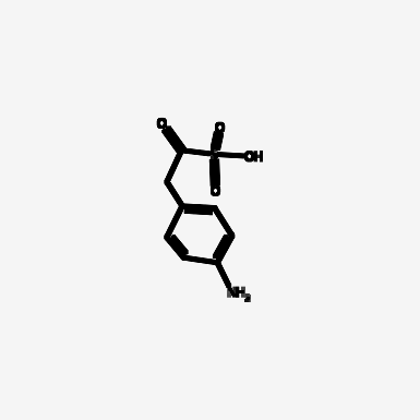 Nc1ccc(CC(=O)S(=O)(=O)O)cc1